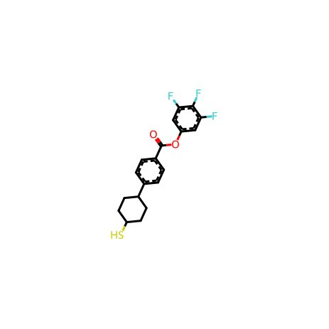 O=C(Oc1cc(F)c(F)c(F)c1)c1ccc(C2CCC(S)CC2)cc1